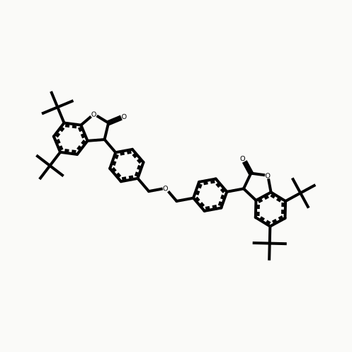 CC(C)(C)c1cc2c(c(C(C)(C)C)c1)OC(=O)C2c1ccc(COCc2ccc(C3C(=O)Oc4c3cc(C(C)(C)C)cc4C(C)(C)C)cc2)cc1